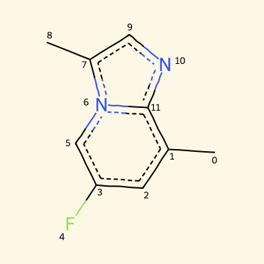 Cc1cc(F)cn2c(C)cnc12